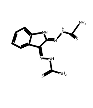 NC(=S)NN=C1Nc2ccccc2C1=NNC(N)=S